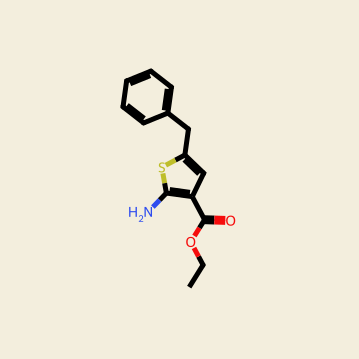 CCOC(=O)c1cc(Cc2ccccc2)sc1N